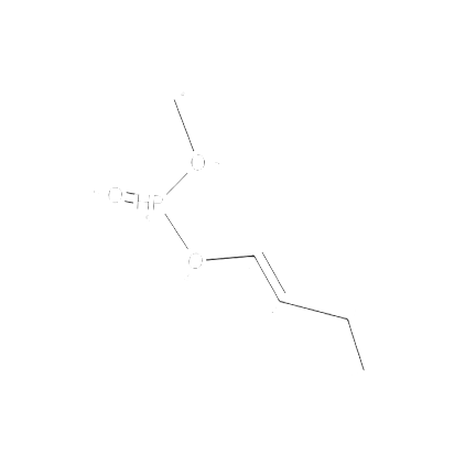 CC/C=C/O[PH](=O)OC